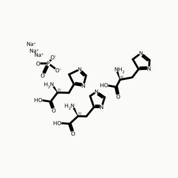 N[C@@H](CC1=NC=NC1)C(=O)O.N[C@@H](CC1=NC=NC1)C(=O)O.N[C@@H](CC1=NC=NC1)C(=O)O.O=P([O-])([O-])[O-].[Na+].[Na+].[Na+]